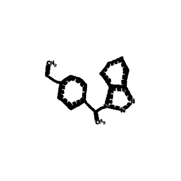 C=Cc1ccc(C(=C)n2nnc3ccccc32)cc1